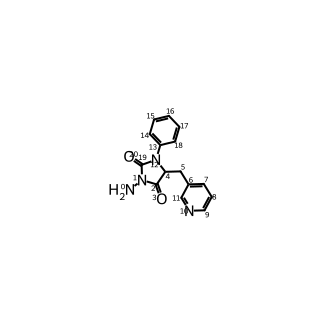 NN1C(=O)C(Cc2cccnc2)N(c2ccccc2)C1=O